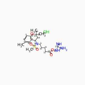 Cc1ccc2c(c1)C(N(CCCCC(=O)ONC(=N)N)S(C)(=O)=O)CC(C)(C)O2.Cl